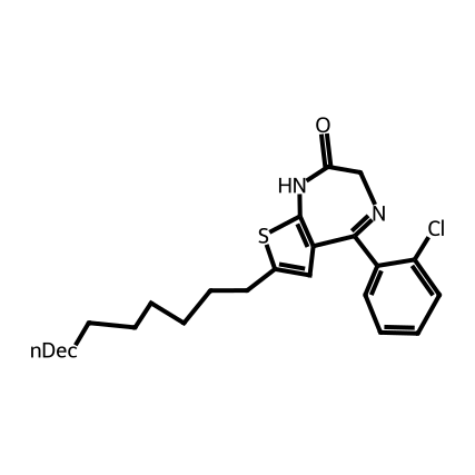 CCCCCCCCCCCCCCCCc1cc2c(s1)NC(=O)CN=C2c1ccccc1Cl